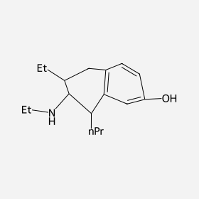 CCCC1c2cc(O)ccc2CC(CC)C1NCC